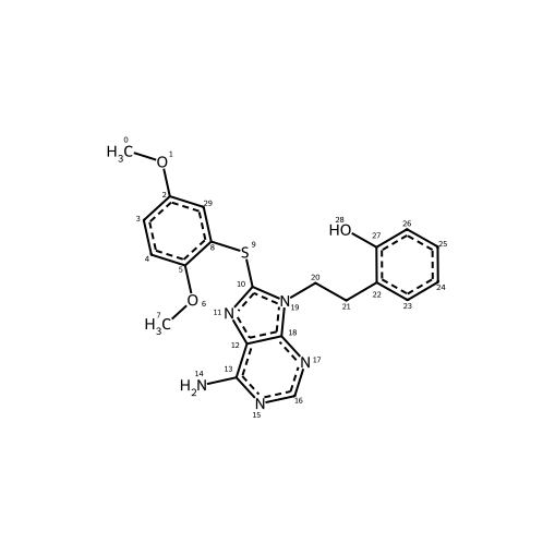 COc1ccc(OC)c(Sc2nc3c(N)ncnc3n2CCc2ccccc2O)c1